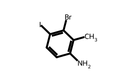 Cc1c(N)ccc(I)c1Br